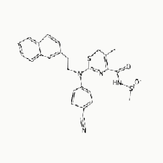 CC1=C(C(=O)N[S+](C)[O-])N=C(N(CCc2ccc3ccccc3c2)c2ccc(C#N)cc2)SC1